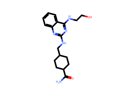 NC(=O)C1CCC(CNc2nc(NCCO)c3ccccc3n2)CC1